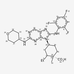 CCC1C[C@@H](n2c(Nc3c(F)cc(F)cc3F)nc3cnc(NC4CCOCC4)nc32)CC[C@]1(C)C(=O)O